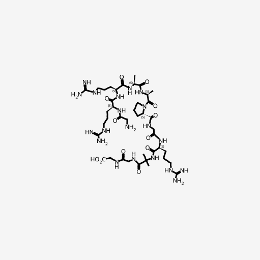 C[C@H](NC(=O)[C@H](CCCNC(=N)N)NC(=O)[C@H](CCCNC(=N)N)NC(=O)CN)C(=O)N[C@@H](C)C(=O)N1CCC[C@H]1C(=O)NCC(=O)N[C@@H](CCCNC(=N)N)C(=O)NC(C)(C)C(=O)NCC(=O)NCC(=O)O